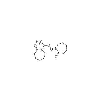 CC(OON1CCCCCC1=O)N1CCCCCC1=O